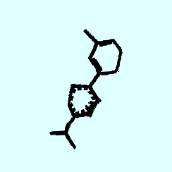 CC1=CC[CH]C(c2ccc(C(C)C)cc2)=C1